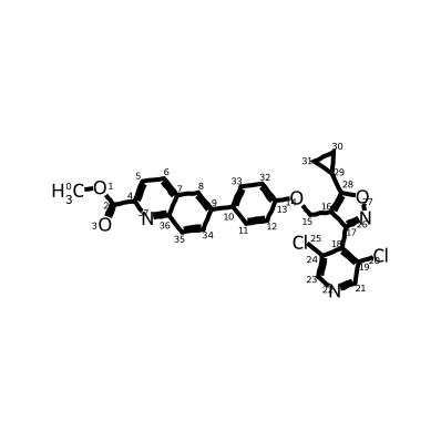 COC(=O)c1ccc2cc(-c3ccc(OCc4c(-c5c(Cl)cncc5Cl)noc4C4CC4)cc3)ccc2n1